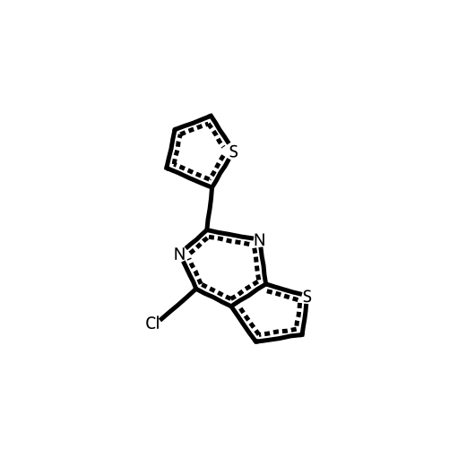 Clc1nc(-c2cccs2)nc2sccc12